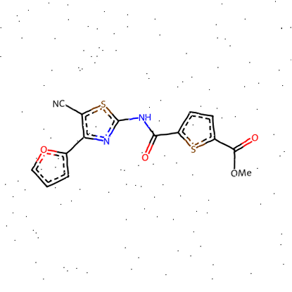 COC(=O)c1ccc(C(=O)Nc2nc(-c3ccco3)c(C#N)s2)s1